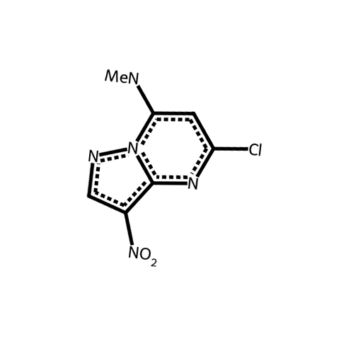 CNc1cc(Cl)nc2c([N+](=O)[O-])cnn12